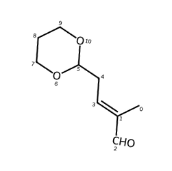 C/C(C=O)=C\CC1OCCCO1